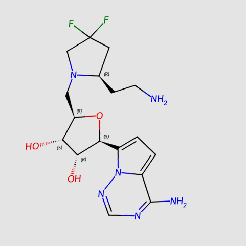 NCC[C@@H]1CC(F)(F)CN1C[C@H]1O[C@@H](c2ccc3c(N)ncnn23)[C@H](O)[C@@H]1O